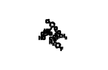 C[C@@H]1CN(Cc2ccc(F)cc2)[C@@H](C)CN1C(=O)COc1ccc(Cl)cc1CNS(=O)(=O)CC(=O)O